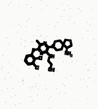 Cc1nc(N2CCC3(CCC[C@H]3N)CC2)c(NCCO)nc1Sc1cccc(Cl)c1Cl